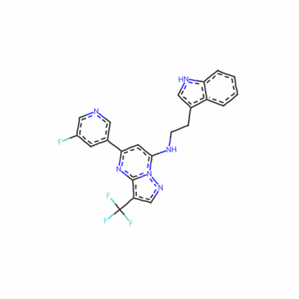 Fc1cncc(-c2cc(NCCc3c[nH]c4ccccc34)n3ncc(C(F)(F)F)c3n2)c1